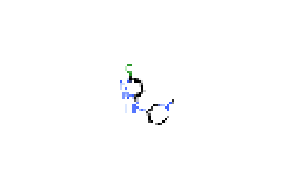 CN1CCCC(Nc2ccc(Cl)nn2)C1